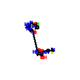 Cc1nc(Nc2ncc(C(=O)Nc3c(C)cccc3Cl)s2)cc(N2CCN(C(=O)CCCCCCCCCCCCCC(=O)N[C@H](C(=O)N3C[C@H](O)C[C@H]3C(=O)NCc3ccc(-c4scnc4C)cc3)C(C)(C)C)CC2)n1